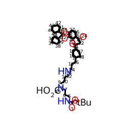 CC(C)(C)OC(=O)NCCCN(CCCCNCCCc1ccc(-c2cc(=O)c3ccc4c(c3o2)OC(c2ccccc2)(c2ccccc2)O4)cc1)C(=O)O